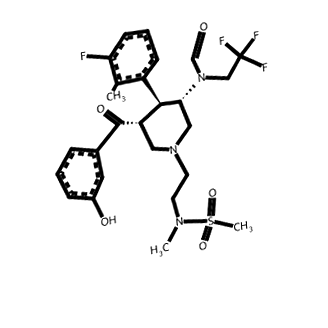 Cc1c(F)cccc1[C@@H]1[C@@H](C(=O)c2cccc(O)c2)CN(CCN(C)S(C)(=O)=O)C[C@H]1N(C=O)CC(F)(F)F